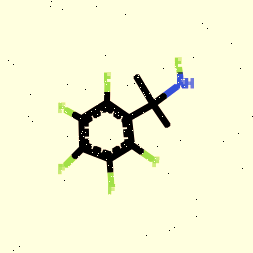 CC(C)(NF)c1c(F)c(F)c(F)c(F)c1F